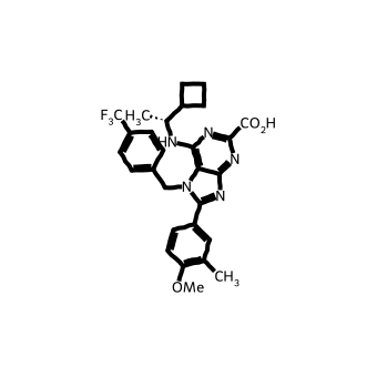 COc1ccc(-c2nc3nc(C(=O)O)nc(N[C@H](C)C4CCC4)c3n2Cc2ccc(C(F)(F)F)cc2)cc1C